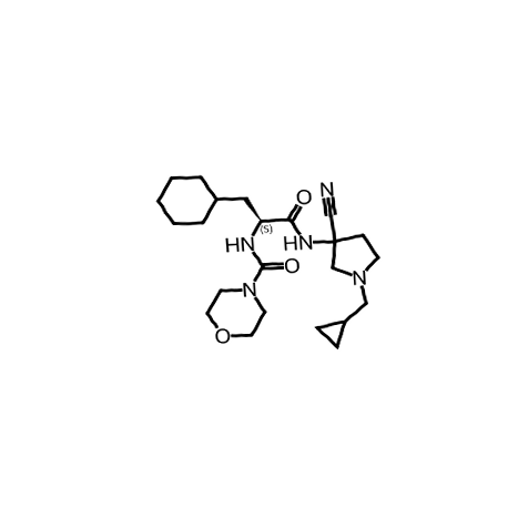 N#CC1(NC(=O)[C@H](CC2CCCCC2)NC(=O)N2CCOCC2)CCN(CC2CC2)C1